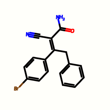 N#CC(C(N)=O)=C(Cc1ccccc1)c1ccc(Br)cc1